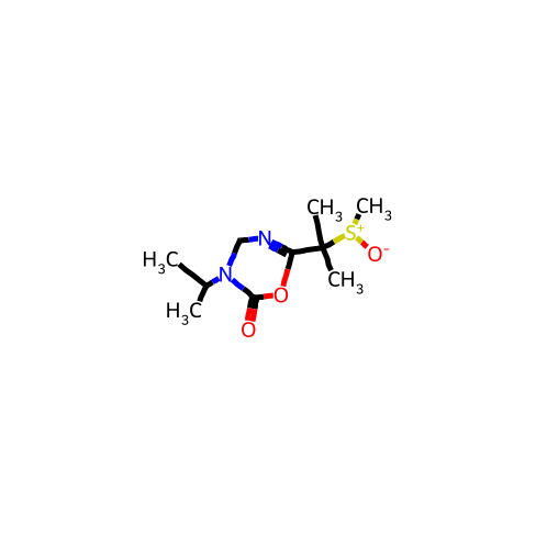 CC(C)N1CN=C(C(C)(C)[S+](C)[O-])OC1=O